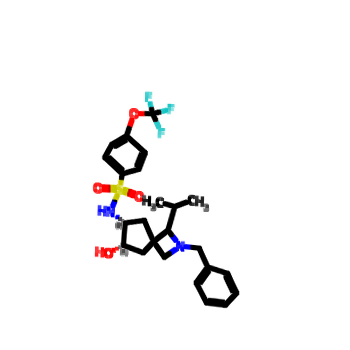 CC(C)C1N(Cc2ccccc2)CC12C[C@H](O)[C@H](NS(=O)(=O)c1ccc(OC(F)(F)F)cc1)C2